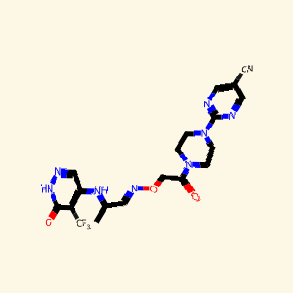 CC(C=NOCC(=O)N1CCN(c2ncc(C#N)cn2)CC1)Nc1cn[nH]c(=O)c1C(F)(F)F